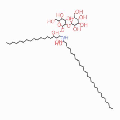 CCCCCCCCCCCCCCCCCCCCCCCCCC(O)N[C@@H](COC1OC(CO)C(O)C(O)C1OC1OC(CO)C(O)C(O)C1O)[C@H](O)[C@H](O)CCCCCCCCCCCCCC